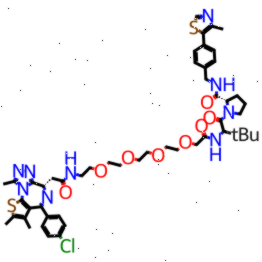 Cc1ncsc1-c1ccc(CNC(=O)[C@@H]2CCCN2C(=O)C(NC(=O)COCCOCCOCCOCCNC(=O)C[C@@H]2N=C(c3ccc(Cl)cc3)c3c(sc(C)c3C)-n3c(C)nnc32)C(C)(C)C)cc1